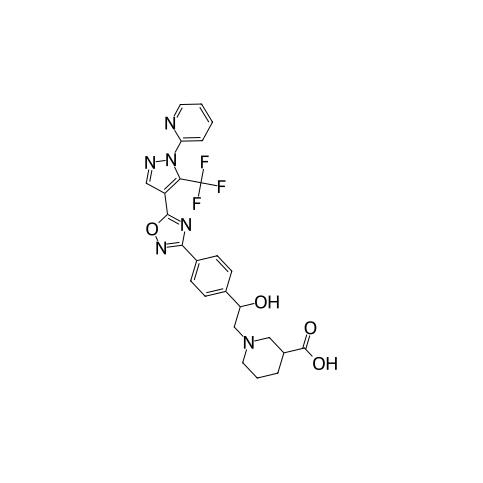 O=C(O)C1CCCN(CC(O)c2ccc(-c3noc(-c4cnn(-c5ccccn5)c4C(F)(F)F)n3)cc2)C1